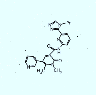 Cc1c(-c2cccnc2)cc(C(=O)Nc2cccc(-c3nncn3C(C)C)n2)c(=O)n1C